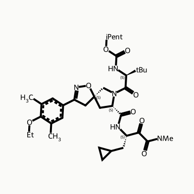 CCCC(C)OC(=O)N[C@H](C(=O)N1C[C@@]2(CC(c3cc(C)c(OCC)c(C)c3)=NO2)C[C@H]1C(=O)N[C@@H](CC1CC1)C(=O)C(=O)NC)C(C)(C)C